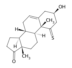 C[C@]12C(=S)C[C@H](O)CC1=CC[C@@H]1[C@@H]2CC[C@]2(C)C(=O)CC[C@@H]12